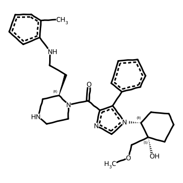 COC[C@]1(O)CCCC[C@H]1n1cnc(C(=O)N2CCNC[C@H]2CCNc2ccccc2C)c1-c1ccccc1